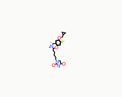 C[C@H](c1ccc(F)c(OCC2CC2)c1)N(C)C(=O)CCCCCN1CC(=O)N(C)C1=O